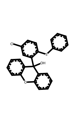 OC1(c2cc(Cl)ccc2Sc2ccccc2)c2ccccc2Oc2ccccc21